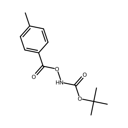 Cc1ccc(C(=O)ONC(=O)OC(C)(C)C)cc1